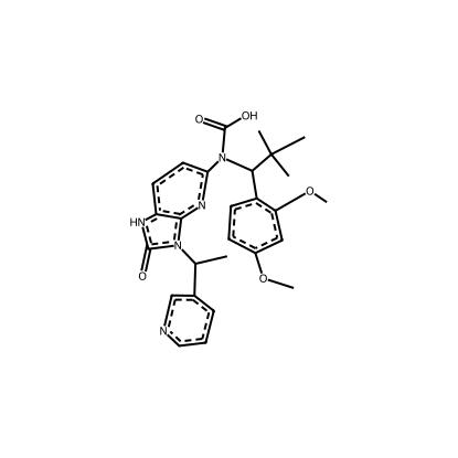 COc1ccc(C(N(C(=O)O)c2ccc3[nH]c(=O)n(C(C)c4cccnc4)c3n2)C(C)(C)C)c(OC)c1